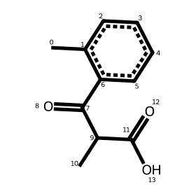 Cc1ccccc1C(=O)C(C)C(=O)O